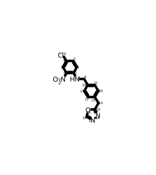 O=[N+]([O-])c1cc(Cl)ccc1NCc1ccc(Cc2nnco2)cc1